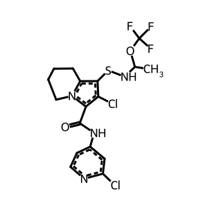 CC(NSc1c(Cl)c(C(=O)Nc2ccnc(Cl)c2)n2c1CCCC2)OC(F)(F)F